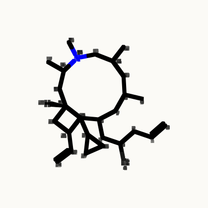 C=CCC(CC)CC1CC(C)CC(C)CN(C)C(C)C[C@H]2CC(C=C)C12C1CC1